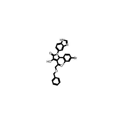 O=C(COCc1ccccc1)C1=C(O)C(=O)N(c2ccc3[nH]cnc3c2)C1c1ccc(Br)cc1F